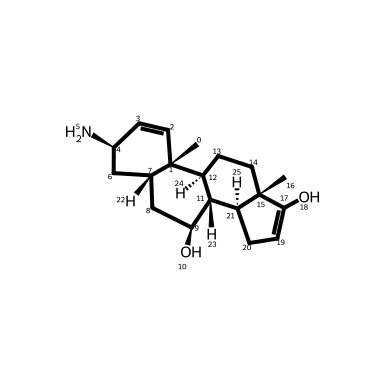 C[C@]12C=C[C@H](N)C[C@H]1C[C@H](O)[C@@H]1[C@@H]2CC[C@]2(C)C(O)=CC[C@@H]12